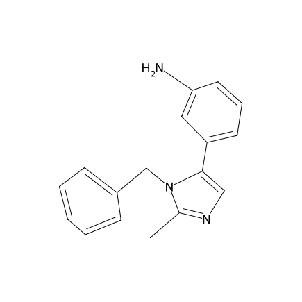 Cc1ncc(-c2cccc(N)c2)n1Cc1ccccc1